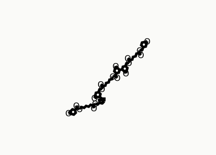 O=C(CCCCC(=O)OCC1CC2OC2C(C2CC(C(=O)OCCCCCC(=O)OCC3CC4OC4C(C45CC(COC(=O)CCCCCOC(=O)C6CCC7OC7C6)CC(C4)O5)C3)CC3OC32)C1)OCC1CCC2OC2C1